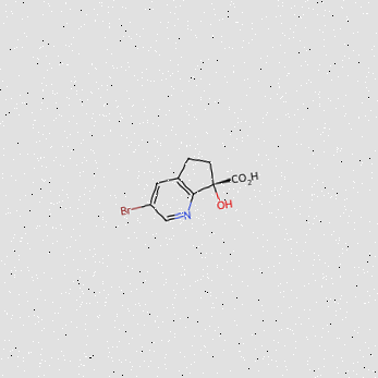 O=C(O)[C@]1(O)CCc2cc(Br)cnc21